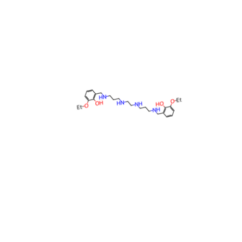 CCOc1cccc(CNCCCNCCNCCCNCc2cccc(OCC)c2O)c1O